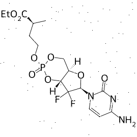 CCOC(=O)[C@@H](C)CCO[P@]1(=O)OC[C@H]2O[C@@H](n3ccc(N)nc3=O)C(F)(F)[C@@H]2O1